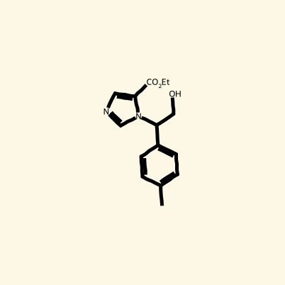 CCOC(=O)c1cncn1C(CO)c1ccc(C)cc1